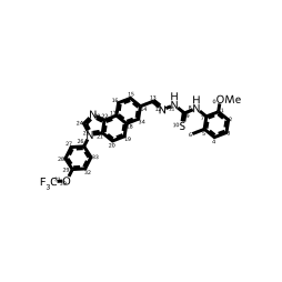 COc1cccc(C)c1NC(=S)NN=Cc1ccc2c(ccc3c2ncn3-c2ccc(OC(F)(F)F)cc2)c1